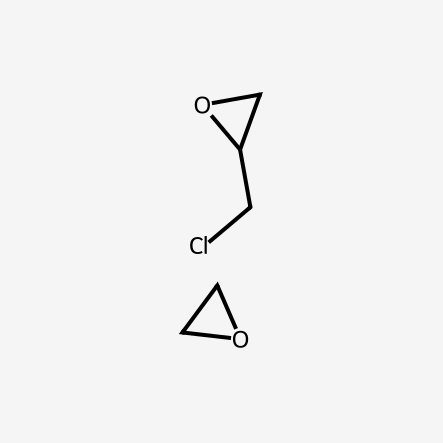 C1CO1.ClCC1CO1